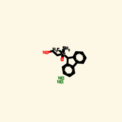 Cl.Cl.[CH3][Zr](=[O])(=[SiH2])([CH2]CO)[CH]1c2ccccc2-c2ccccc21